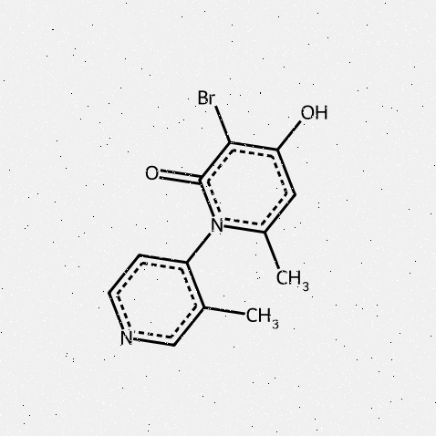 Cc1cnccc1-n1c(C)cc(O)c(Br)c1=O